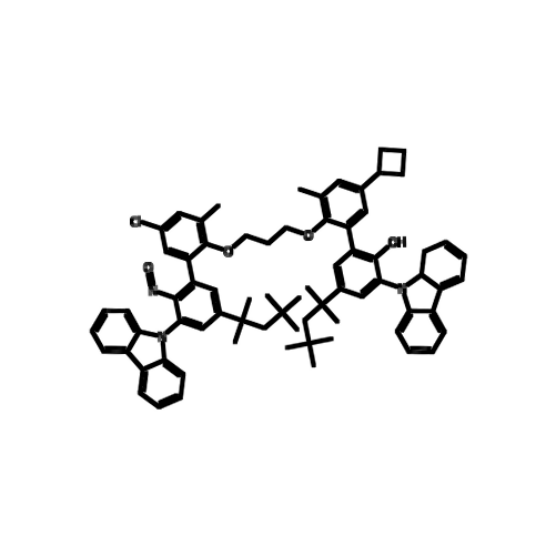 Cc1cc(C2CCC2)cc(-c2cc(C(C)(C)CC(C)(C)C)cc(N3c4ccccc4C4=CC=CCC43)c2O)c1OCCCOc1c(C)cc(Cl)cc1-c1cc(C(C)(C)CC(C)(C)C)cc(-n2c3ccccc3c3ccccc32)c1N=O